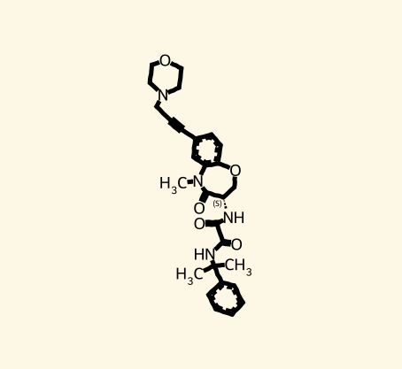 CN1C(=O)[C@@H](NC(=O)C(=O)NC(C)(C)c2ccccc2)COc2ccc(C#CCN3CCOCC3)cc21